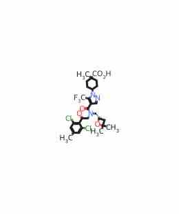 Cc1cc(Cl)c(C(=O)CN(C[C@@H]2CC(C)(C)O2)C(=O)c2cnn(C3CCC(C)(C(=O)O)CC3)c2C(F)(F)F)c(Cl)c1